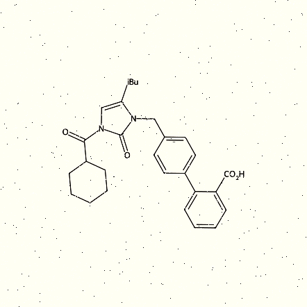 CCC(C)c1cn(C(=O)C2CCCCC2)c(=O)n1Cc1ccc(-c2ccccc2C(=O)O)cc1